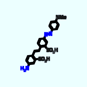 CNc1ccc(N=Nc2ccc(C=Cc3ccc(N)cc3S(=O)(=O)O)c(S(=O)(=O)O)c2)cc1